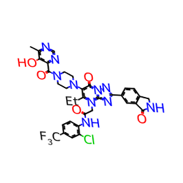 CCc1c(N2CCN(C(=O)c3ncnc(C)c3O)CC2)c(=O)n2nc(-c3ccc4c(c3)C(=O)NC4)nc2n1CC(=O)Nc1ccc(C(F)(F)F)cc1Cl